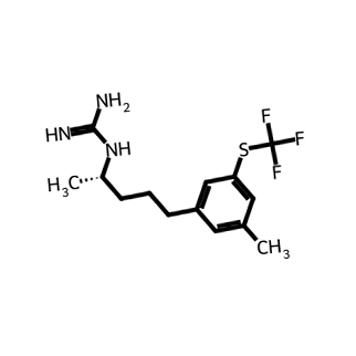 Cc1cc(CCC[C@H](C)NC(=N)N)cc(SC(F)(F)F)c1